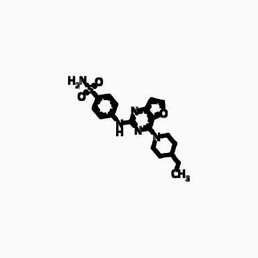 CCC1CCN(c2nc(Nc3ccc(S(N)(=O)=O)cc3)nc3ccoc23)CC1